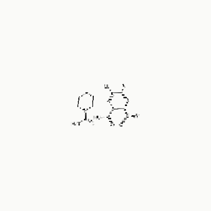 NC(=O)N1CCCCC1.O=C(O)c1cc(Cl)c(Cl)cc1[N+](=O)[O-]